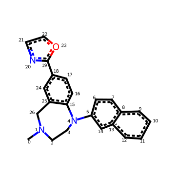 CN1CCN(c2ccc3ccccc3c2)c2ccc(-c3ncco3)cc2C1